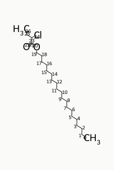 CCCCCCCCCCCCCCCCCCCCOC(=O)C(Cl)CC